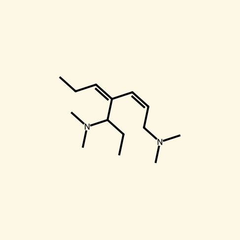 CCC=C(/C=C\CN(C)C)C(CC)N(C)C